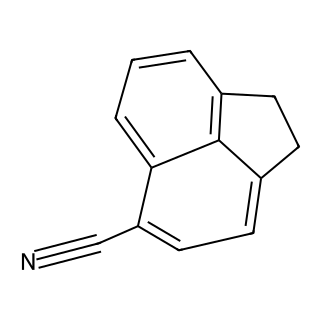 N#Cc1ccc2c3c(cccc13)CC2